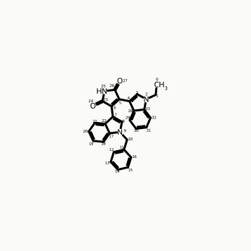 CCn1cc(C2=C(c3cn(Cc4ccccc4)c4ccccc34)C(=O)NC2=O)c2ccccc21